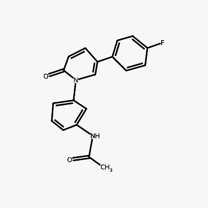 CC(=O)Nc1cccc(-n2cc(-c3ccc(F)cc3)ccc2=O)c1